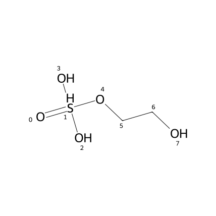 O=[SH](O)(O)OCCO